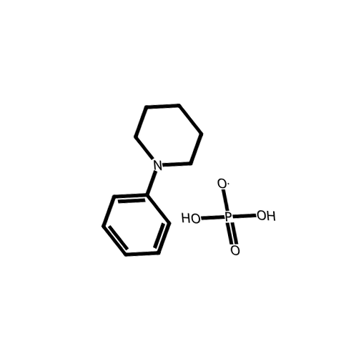 [O]P(=O)(O)O.c1ccc(N2CCCCC2)cc1